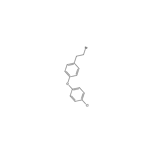 Clc1ccc(Oc2ccc(CCBr)cc2)cc1